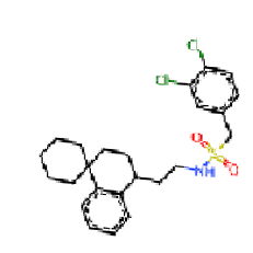 O=S(=O)(Cc1ccc(Cl)c(Cl)c1)NCCC1CCC2(CCCCC2)c2ccccc21